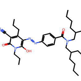 CCCCC(CC)CN(CC(CC)CCCC)C(=O)c1ccc(/N=N/c2c(CCC)c(C#N)c(=O)n(CCC)c2O)cc1